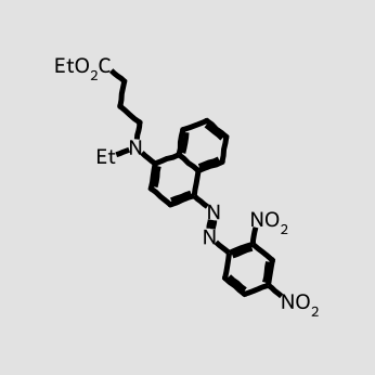 CCOC(=O)CCCN(CC)c1ccc(N=Nc2ccc([N+](=O)[O-])cc2[N+](=O)[O-])c2ccccc12